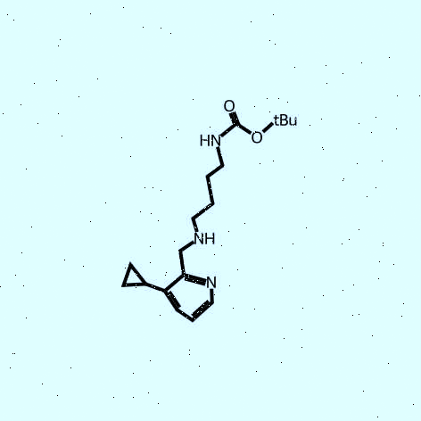 CC(C)(C)OC(=O)NCCCCNCc1ncccc1C1CC1